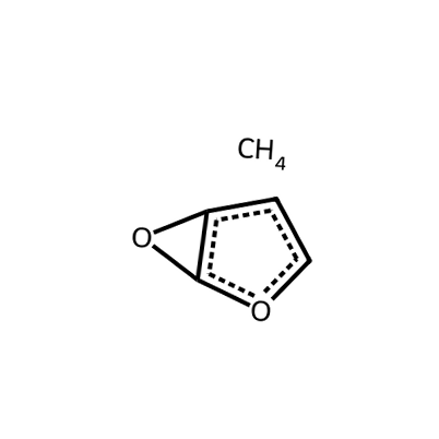 C.c1cc2c(o1)O2